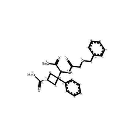 COC(=O)C(NC(=O)COCc1ccccc1)[C@]1(c2ccccc2)C[C@@H](C(=O)OC)C1